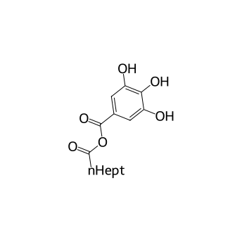 CCCCCCCC(=O)OC(=O)c1cc(O)c(O)c(O)c1